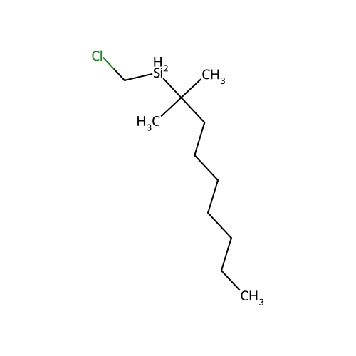 CCCCCCCC(C)(C)[SiH2]CCl